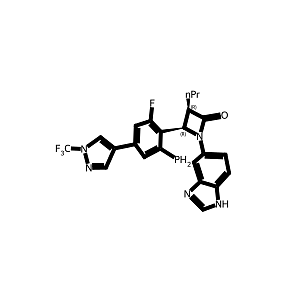 CCC[C@H]1C(=O)N(c2ccc3[nH]cnc3c2)[C@H]1c1c(F)cc(-c2cnn(C(F)(F)F)c2)cc1P